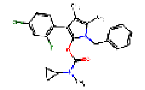 Cc1c(-c2ccc(Cl)cc2F)c(OC(=O)N(C)C2CC2)n(Cc2ccccc2)c1C(F)(F)F